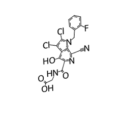 N#Cc1nc(C(=O)NCC(=O)O)c(O)c2c(Cl)c(Cl)n(Cc3ccccc3F)c12